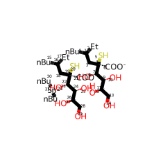 CCCCC(CC)C[C@](S)(C(=O)[O-])[C@@H](O)[C@H](O)[C@H](O)CO.CCCCC(CC)C[C@](S)(C(=O)[O-])[C@@H](O)[C@H](O)[C@H](O)CO.CCC[CH2][Sn+2][CH2]CCC